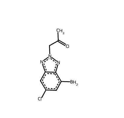 Bc1cc(Cl)cc2nn(CC(C)=O)nc12